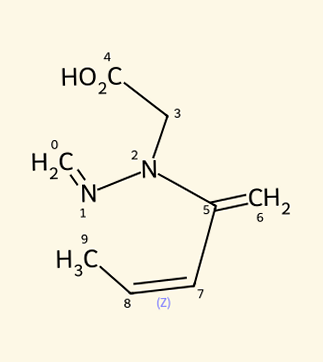 C=NN(CC(=O)O)C(=C)/C=C\C